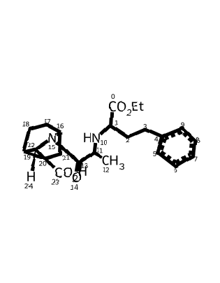 CCOC(=O)C(CCc1ccccc1)NC(C)C(=O)N1C2CCC(CC2)[C@H]1C(=O)O